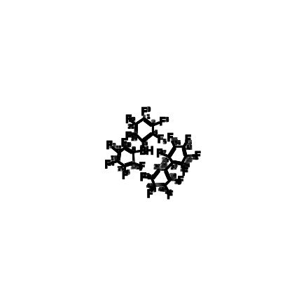 Fc1c(F)c(F)c(Bc2c(F)c(F)c(F)c(F)c2F)c(F)c1F.Fc1cc(-c2c(F)c(F)c(F)c(F)c2F)c(F)c(F)c1F